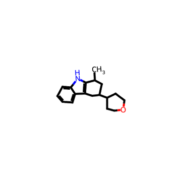 CC1CC(C2CCOCC2)Cc2c1[nH]c1ccccc21